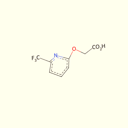 O=C(O)COc1cccc(C(F)(F)F)n1